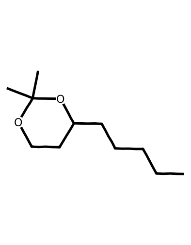 CCCCCC1CCOC(C)(C)O1